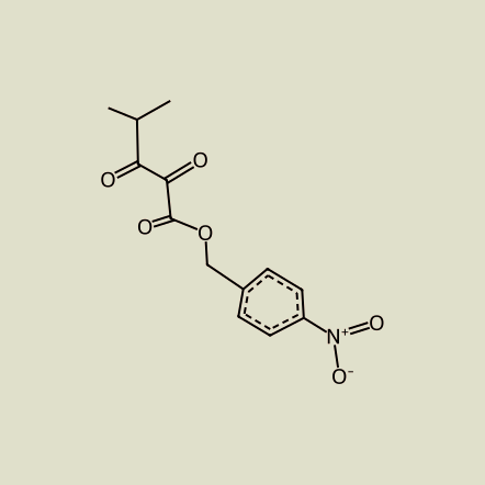 CC(C)C(=O)C(=O)C(=O)OCc1ccc([N+](=O)[O-])cc1